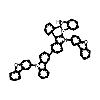 c1ccc2c(c1)NC1c3ccccc3-c3c(n(-c4ccc5oc6ccccc6c5c4)c4ccc(-c5ccc6c(c5)c5ccccc5n6-c5ccc6oc7ccccc7c6c5)cc34)N21